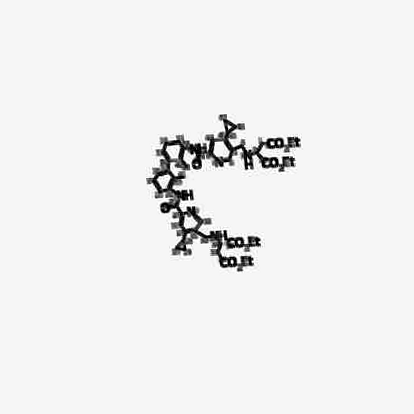 CCOC(=O)C[C@H](NCc1cnc(C(=O)Nc2cccc(-c3cccc(NC(=O)c4cc(C5CC5)c(CN[C@@H](CC(=O)OCC)C(=O)OCC)cn4)c3C)c2C)cc1C1CC1)C(=O)OCC